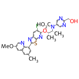 COc1cnc2c(-c3nc4cc(F)c(O[C@@H](C)[C@@H](C)N(C(=O)O)c5cnc(CO)nc5)nc4s3)cc(C)cc2c1